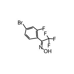 O/N=C(/c1ccc(Br)cc1F)C(F)(F)F